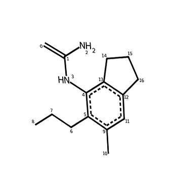 C=C(N)Nc1c(CCC)c(C)cc2c1CCC2